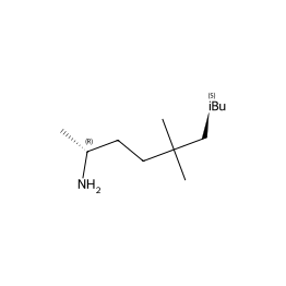 CC[C@H](C)CC(C)(C)CC[C@@H](C)N